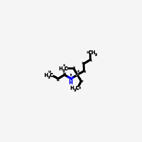 CCCC[Si](CC)(CC)NCCC